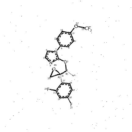 C[C@@H](Oc1nccn1-c1ccc(OC(F)(F)F)cc1)[C@@]1(c2ccc(F)cc2F)CO1